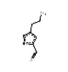 CCCc1c[nH]c(C=O)c1